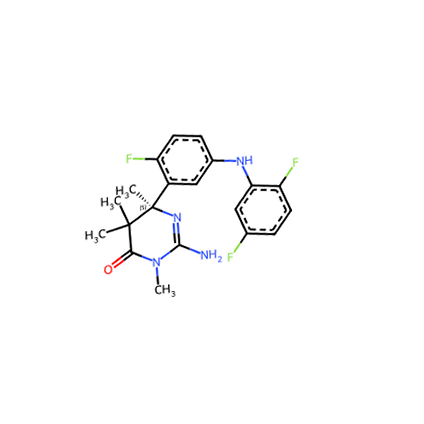 CN1C(=O)C(C)(C)[C@@](C)(c2cc(Nc3cc(F)ccc3F)ccc2F)N=C1N